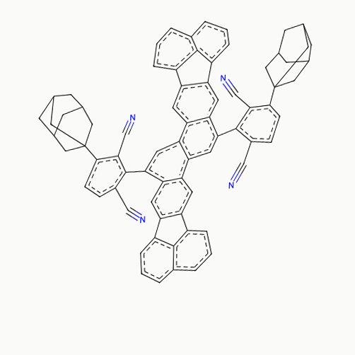 N#Cc1ccc(C23CC4CC(CC(C4)C2)C3)c(C#N)c1-c1cc2c3cc4c(cc3c(-c3c(C#N)ccc(C56CC7CC(CC(C7)C5)C6)c3C#N)cc2c2cc3c(cc12)-c1cccc2cccc-3c12)-c1cccc2cccc-4c12